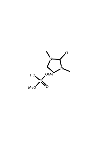 CN1CCN(C)C1Cl.COP(=O)(O)OC